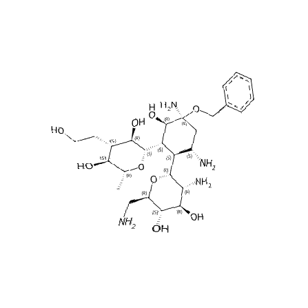 C[C@H]1O[C@@H]([C@H]2[C@H]([C@H]3O[C@H](CN)[C@@H](O)[C@H](O)[C@H]3N)[C@@H](N)C[C@](N)(OCc3ccccc3)[C@@H]2O)[C@H](O)[C@@H](CCO)[C@@H]1O